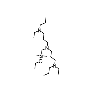 CCCN(CC)CCCN(CCCN(CC)CCC)C[Si](C)(C)OCC